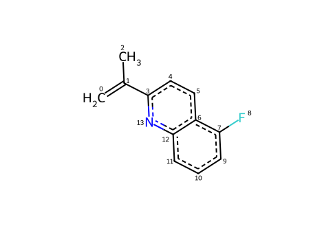 C=C(C)c1ccc2c(F)cccc2n1